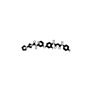 O=C(CC(=O)Nc1ccc(Oc2ccnc(NC(=O)N3CC(N4CCCC4)C3)c2)cc1F)Nc1ccc(F)cc1